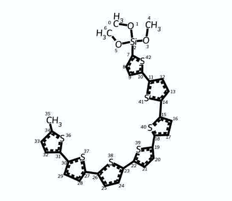 CO[Si](OC)(OC)c1ccc(-c2ccc(-c3ccc(-c4ccc(-c5ccc(-c6ccc(-c7ccc(C)s7)s6)s5)s4)s3)s2)s1